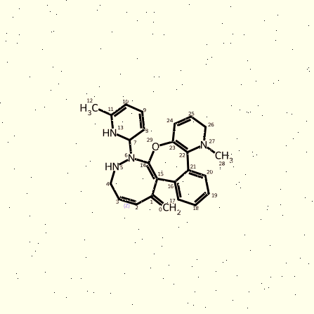 C=C1/C=C\CNN(C2C=CC=C(C)N2)C2=C1c1ccccc1C1=C(C=CCN1C)O2